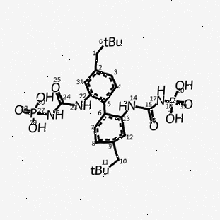 CC(C)(C)Cc1ccc(-c2ccc(CC(C)(C)C)cc2NC(=O)NP(=O)(O)O)c(NC(=O)NP(=O)(O)O)c1